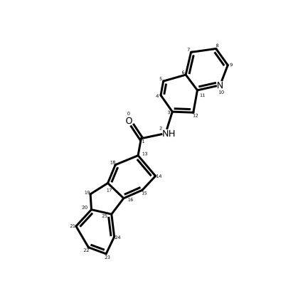 O=C(Nc1ccc2cccnc2c1)c1ccc2c(c1)Cc1ccccc1-2